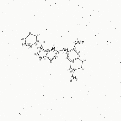 COc1cc2c(cc1Nc1ncc3cnn(C[C@H]4CCCNC4)c3n1)CN(C)CC2